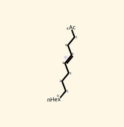 CCCCCCCCC/C=C/CCC(C)=O